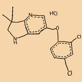 CC1(C)CNc2cc(Oc3ccc(Cl)cc3Cl)cnc21.Cl